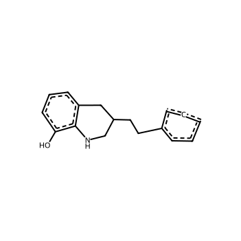 Oc1cccc2c1NCC(CCc1ccccc1)C2